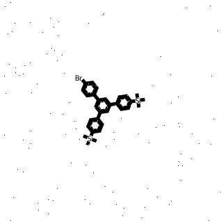 C[Si](C)(C)c1ccc(-c2cc(-c3ccc(Br)cc3)cc(-c3ccc([Si](C)(C)C)cc3)c2)cc1